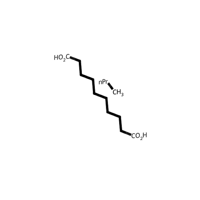 CCCC.O=C(O)CCCCCCCCC(=O)O